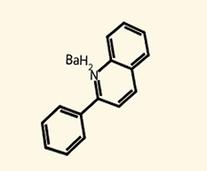 [BaH2].c1ccc(-c2ccc3ccccc3n2)cc1